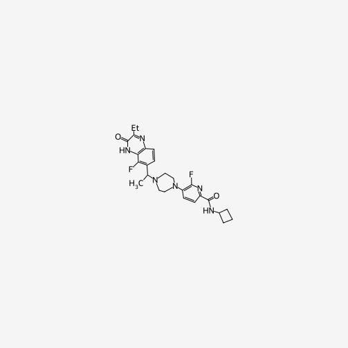 CCc1nc2ccc(C(C)N3CCN(c4ccc(C(=O)NC5CCC5)nc4F)CC3)c(F)c2[nH]c1=O